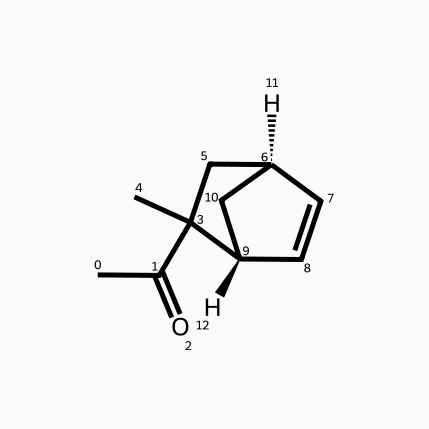 CC(=O)C1(C)C[C@H]2C=C[C@H]1C2